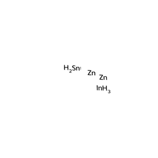 [InH3].[SnH2].[Zn].[Zn]